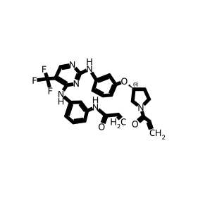 C=CC(=O)Nc1cccc(Nc2nc(Nc3cccc(O[C@@H]4CCN(C(=O)C=C)C4)c3)ncc2C(F)(F)F)c1